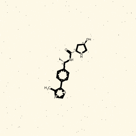 Cc1ncsc1-c1ccc([C@H](I)NC(=O)[C@@H]2C[C@@H](O)CN2)cc1